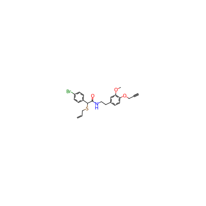 C#CCOc1ccc(CCNC(=O)C(SCC=C)c2ccc(Br)cc2)cc1OC